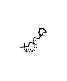 CNC(C)(C)CCC(=O)OCc1ccccc1